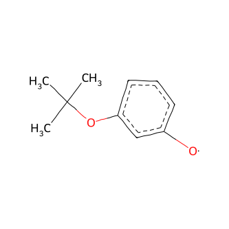 CC(C)(C)Oc1cccc([O])c1